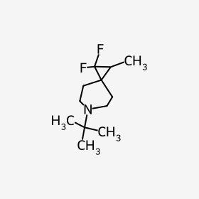 CC1C(F)(F)C12CCN(C(C)(C)C)CC2